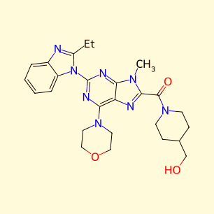 CCc1nc2ccccc2n1-c1nc(N2CCOCC2)c2nc(C(=O)N3CCC(CO)CC3)n(C)c2n1